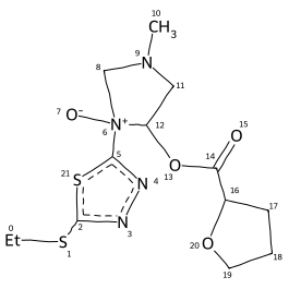 CCSc1nnc([N+]2([O-])CN(C)CC2OC(=O)C2CCCO2)s1